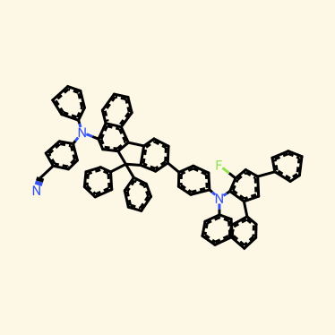 N#Cc1ccc(N(c2ccccc2)c2cc3c(c4ccccc24)-c2ccc(-c4ccc(N(c5ccccc5)c5c(F)cc(-c6ccccc6)cc5-c5ccccc5)cc4)cc2C3(c2ccccc2)c2ccccc2)cc1